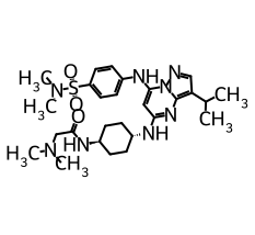 CC(C)c1cnn2c(Nc3ccc(S(=O)(=O)N(C)C)cc3)cc(N[C@H]3CC[C@H](NC(=O)CN(C)C)CC3)nc12